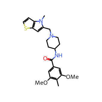 COc1cc(C(=O)NC2CCN(Cc3cc4sccc4n3C)CC2)cc(OC)c1C